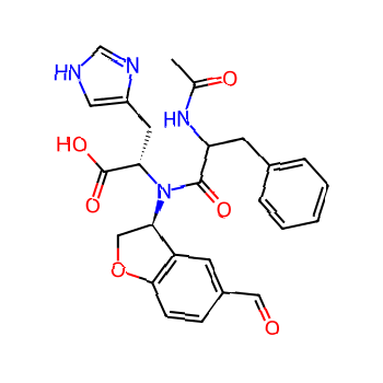 CC(=O)NC(Cc1ccccc1)C(=O)N([C@@H]1COc2ccc(C=O)cc21)[C@@H](Cc1c[nH]cn1)C(=O)O